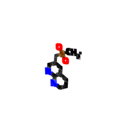 [CH2]S(=O)(=O)Cc1cnc2ncccc2c1